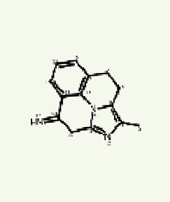 Cc1nc2n3c1CCc1cccc(c1-3)C(=N)C2